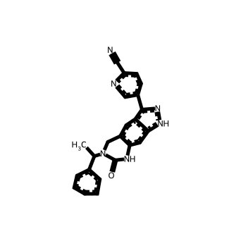 CC(c1ccccc1)N1Cc2cc3c(-c4ccc(C#N)nc4)n[nH]c3cc2NC1=O